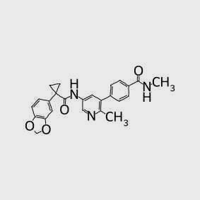 CNC(=O)c1ccc(-c2cc(NC(=O)C3(c4ccc5c(c4)OCO5)CC3)cnc2C)cc1